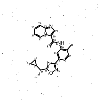 Cc1ccc(-c2noc([C@H](F)C3CC3)n2)cc1NC(=O)c1cnc2ccccn12